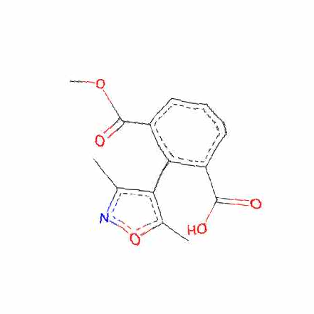 COC(=O)c1cccc(C(=O)O)c1-c1c(C)noc1C